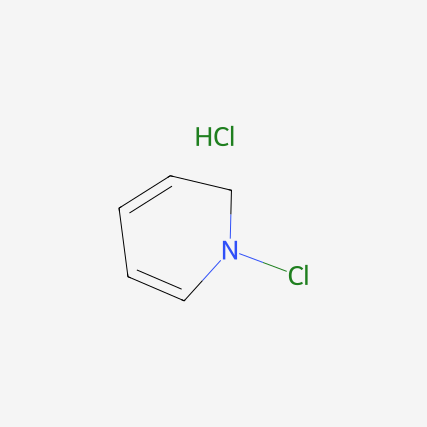 Cl.ClN1C=CC=CC1